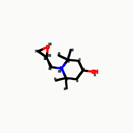 CC1(C)CC(O)CC(C)(C)N1C[C@H]1CO1